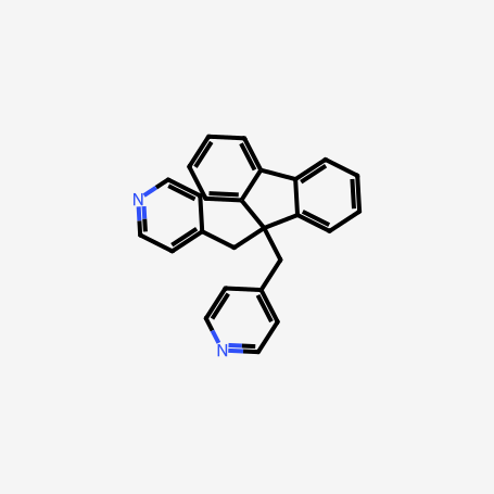 c1ccc2c(c1)-c1ccccc1C2(Cc1ccncc1)Cc1ccncc1